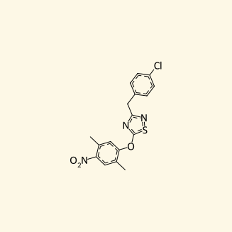 Cc1cc([N+](=O)[O-])c(C)cc1Oc1nc(Cc2ccc(Cl)cc2)ns1